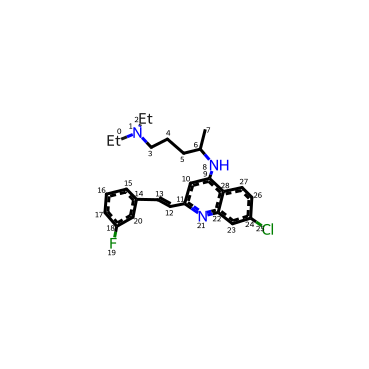 CCN(CC)CCCC(C)Nc1cc(/C=C/c2cccc(F)c2)nc2cc(Cl)ccc12